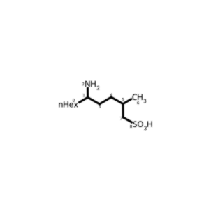 CCCCCCC(N)CCC(C)CS(=O)(=O)O